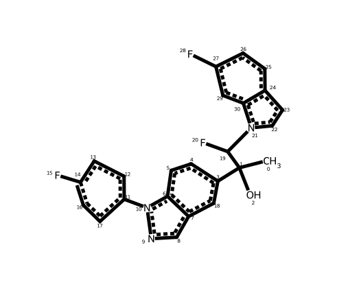 CC(O)(c1ccc2c(cnn2-c2ccc(F)cc2)c1)C(F)n1ccc2ccc(F)cc21